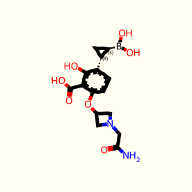 NC(=O)CN1CC(Oc2ccc([C@@H]3C[C@@H]3B(O)O)c(O)c2C(=O)O)C1